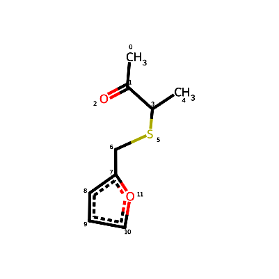 CC(=O)C(C)SCc1ccco1